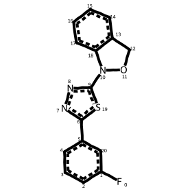 Fc1cccc(-c2nnc(N3OCc4ccccc43)s2)c1